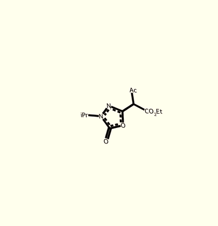 CCOC(=O)C(C(C)=O)c1nn(C(C)C)c(=O)o1